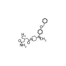 CC(CC(N)=O)CC(=O)N1CCC(N(C)c2ccc(OCc3ccccc3)cc2)CC1